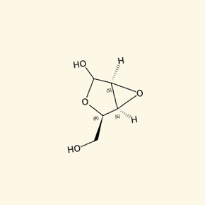 OC[C@H]1OC(O)[C@H]2O[C@H]21